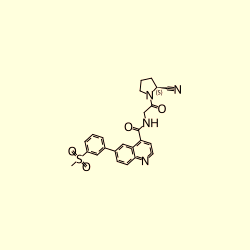 CS(=O)(=O)c1cccc(-c2ccc3nccc(C(=O)NCC(=O)N4CCC[C@H]4C#N)c3c2)c1